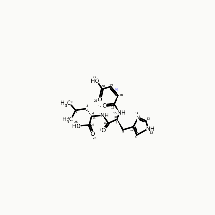 CC(C)C[C@H](NC(=O)[C@H](Cc1c[nH]cn1)NC(=O)/C=C\C(=O)O)C(=O)O